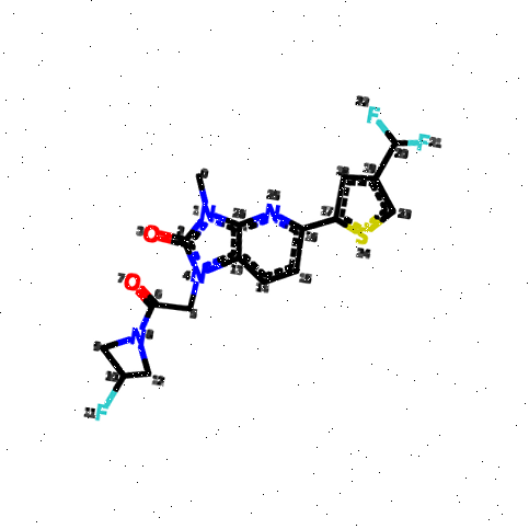 Cn1c(=O)n(CC(=O)N2CC(F)C2)c2ccc(-c3cc(C(F)F)cs3)nc21